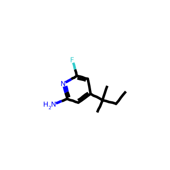 CCC(C)(C)c1cc(N)nc(F)c1